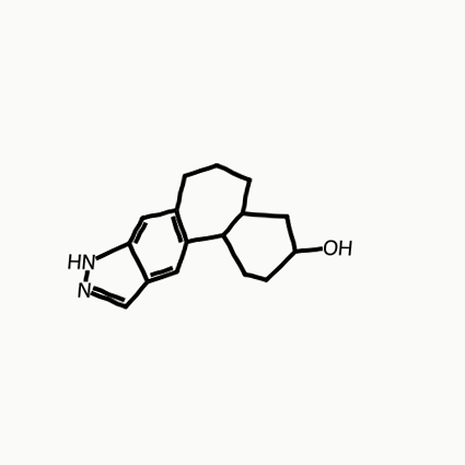 OC1CCC2c3cc4cn[nH]c4cc3CCCC2C1